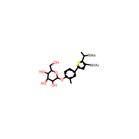 CNC(C)c1sc(-c2ccc(OC3OC(CO)C(O)C(O)C3O)c(C)c2)cc1NC(C)=O